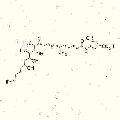 CC(/C=C/C=C/C(=O)NC1CC(C(=O)O)CC1O)=C\C=C\C=C(/Cl)C(C)C(O)C(O)C(O)CC(O)/C=C/C=C/C(C)C